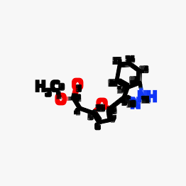 COC(=O)Cc1ccc(-c2n[nH]c3ccccc23)o1